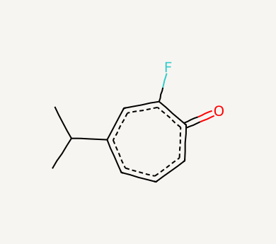 CC(C)c1cccc(=O)c(F)c1